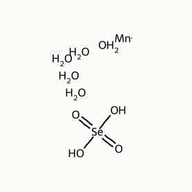 O.O.O.O.O.O=[Se](=O)(O)O.[Mn]